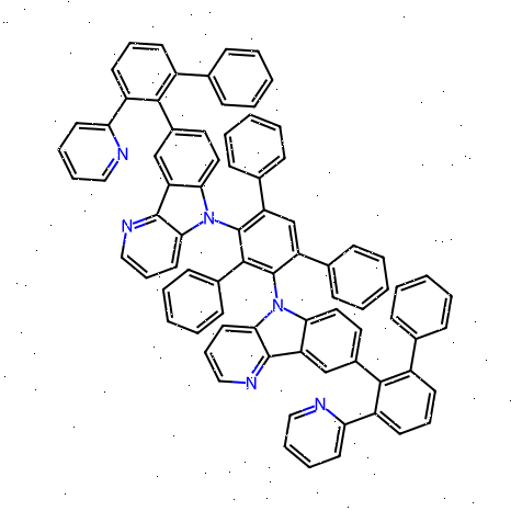 c1ccc(-c2cccc(-c3ccccn3)c2-c2ccc3c(c2)c2ncccc2n3-c2c(-c3ccccc3)cc(-c3ccccc3)c(-n3c4ccc(-c5c(-c6ccccc6)cccc5-c5ccccn5)cc4c4ncccc43)c2-c2ccccc2)cc1